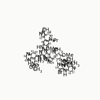 COc1cc2c(cc1Nc1ncc(Br)c(Nc3ccnc(C)c3NS(C)(=O)=O)n1)-c1cnn(C)c1C(c1nc(Nc3cc4c(cc3OC)N(C(C)C)CCc3c-4cnn3C)nc(Nc3ccc4nccnc4c3CNS(C)(=O)=O)c1Br)CN2C